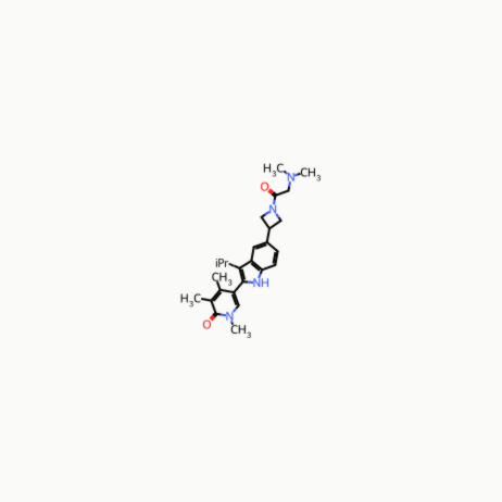 Cc1c(-c2[nH]c3ccc(C4CN(C(=O)CN(C)C)C4)cc3c2C(C)C)cn(C)c(=O)c1C